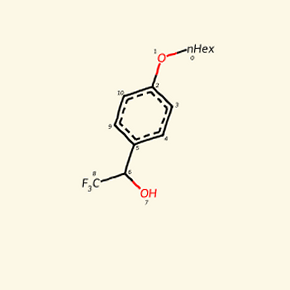 CCCCCCOc1ccc(C(O)C(F)(F)F)cc1